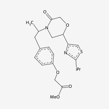 COC(=O)COc1ccc(CC(C)N2CC(c3csc(C(C)C)n3)OCC2=O)cc1